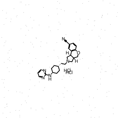 Cl.Cl.N#Cc1ccc2c(c1)[C@@H]1CN(CC[C@H]3CC[C@H](Nc4ncccn4)CC3)C[C@H]1CO2